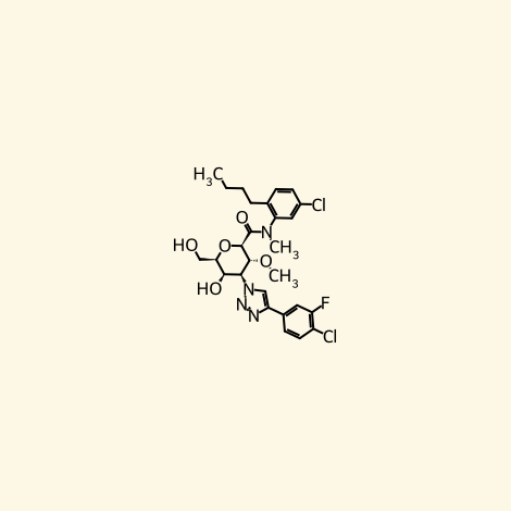 CCCCc1ccc(Cl)cc1N(C)C(=O)[C@@H]1O[C@H](CO)[C@H](O)[C@H](n2cc(-c3ccc(Cl)c(F)c3)nn2)[C@H]1OC